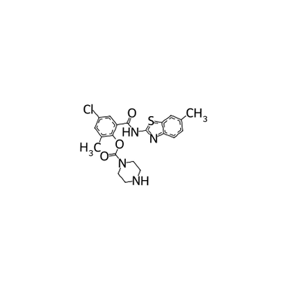 Cc1ccc2nc(NC(=O)c3cc(Cl)cc(C)c3OC(=O)N3CCNCC3)sc2c1